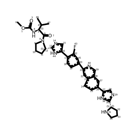 COC(=O)N[C@H](C(=O)N1CCC[C@H]1c1ncc(-c2ccc(-c3cc4ccc(-c5cnc([C@@H]6CCCN6)[nH]5)cc4cn3)cc2F)[nH]1)C(C)C